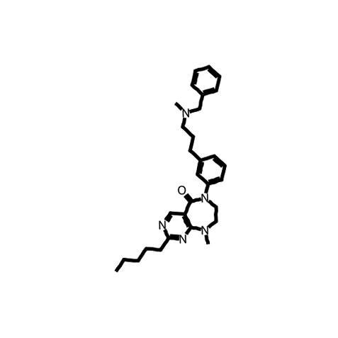 CCCCCc1ncc2c(n1)N(C)CCN(c1cccc(CCCN(C)Cc3ccccc3)c1)C2=O